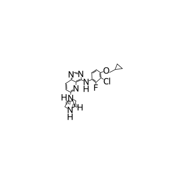 Fc1c(Nc2ncnc3ccc(N4C[C@@H]5C[C@H]4CN5)nc23)ccc(OCC2CC2)c1Cl